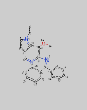 CCn1ccc2cnc(N=C(c3ccccc3)c3ccccc3)c(OC)c21